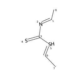 CC=NC(=S)[SH]=CC